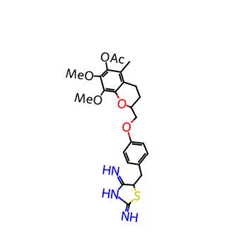 COc1c(OC(C)=O)c(C)c2c(c1OC)OC(COc1ccc(CC3SC(=N)NC3=N)cc1)CC2